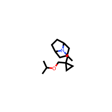 CC1CC2CCC(C1)N2CC1(COC(C)C)CC1